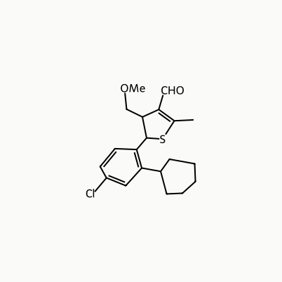 COCC1C(C=O)=C(C)SC1c1ccc(Cl)cc1C1CCCCC1